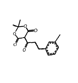 Cc1cccc(CCC(=O)C2C(=O)OC(C)(C)OC2=O)c1